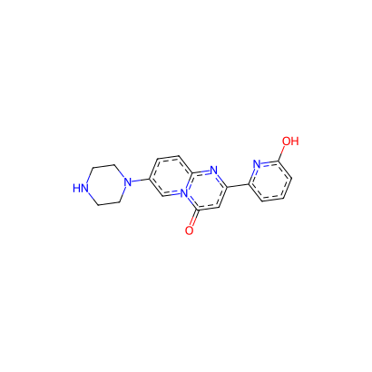 O=c1cc(-c2cccc(O)n2)nc2ccc(N3CCNCC3)cn12